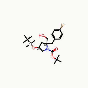 CC(C)(C)OC(=O)N1C[C@@H](O[Si](C)(C)C(C)(C)C)C[C@]1(CO)Cc1ccc(Br)cc1